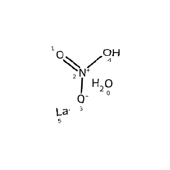 O.O=[N+]([O-])O.[La]